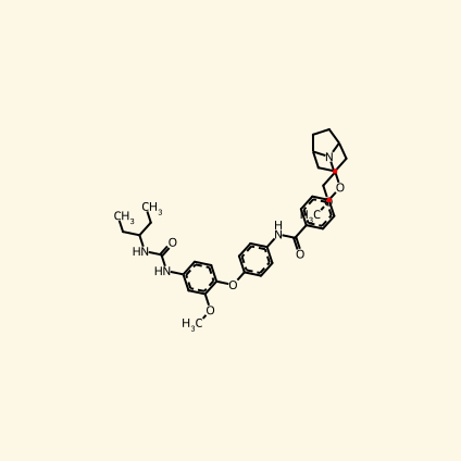 CCC(CC)NC(=O)Nc1ccc(Oc2ccc(NC(=O)c3ccc(OC4CC5CCC(C4)N5CCOC)cc3)cc2)c(OC)c1